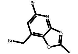 Cc1nc2nc(Br)cc(CBr)c2o1